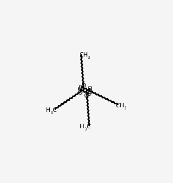 CCCCCCCCCCCCCCCCCCOC(=O)C1CC(C(=O)OCCCCCCCCCCCCCCCCCC)C(C(=O)OCCCCCCCCCCCCCCCCCC)CC1C(=O)OCCCCCCCCCCCCCCCCCC